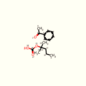 CC(=O)c1ccccc1.CCCC(C)(C)OC(=O)O